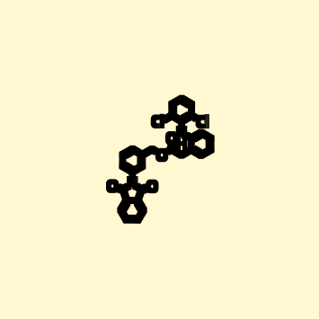 O=C(Cc1ccccc1Nc1c(Cl)cccc1Cl)OCc1cccc(N2C(=O)c3ccccc3C2=O)c1